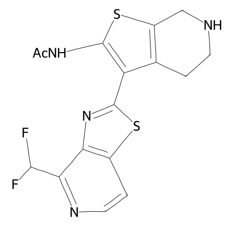 CC(=O)Nc1sc2c(c1-c1nc3c(C(F)F)nccc3s1)CCNC2